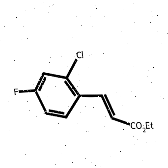 CCOC(=O)/C=C/c1c[c]c(F)cc1Cl